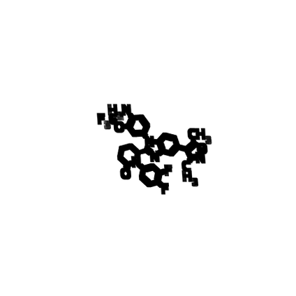 Cc1noc(C)c1-c1ccc2c(c1)nc([C@@H]1CCCC(=O)N1c1ccc(F)c(F)c1)n2-c1ccc(N)c(OC(F)(F)F)c1